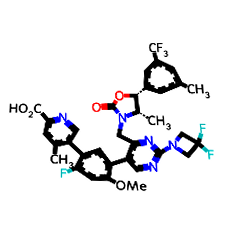 COc1cc(F)c(-c2cnc(C(=O)O)cc2C)cc1-c1cnc(N2CC(F)(F)C2)nc1CN1C(=O)O[C@H](c2cc(C)cc(C(F)(F)F)c2)[C@@H]1C